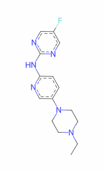 CCN1CCN(c2ccc(Nc3ncc(F)cn3)nc2)CC1